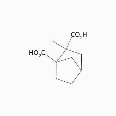 CC1(C(=O)O)CC2CCC1(C(=O)O)C2